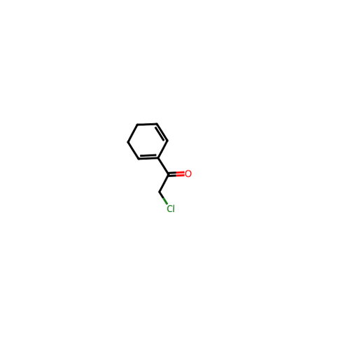 O=C(CCl)C1=CCCC=C1